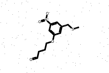 CSCc1cc(OCCCC=O)cc([N+](=O)[O-])c1